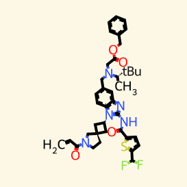 C=CC(=O)N1CC[C@]2(C1)C[C@@H](n1c(NC(=O)c3ccc(C(F)F)s3)nc3cc(CN(CC(=O)OCc4ccccc4)[C@@H](C)C(C)(C)C)ccc31)C2